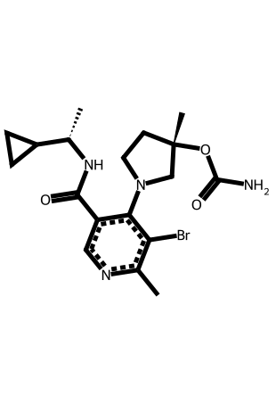 Cc1ncc(C(=O)N[C@@H](C)C2CC2)c(N2CC[C@](C)(OC(N)=O)C2)c1Br